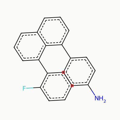 Nc1ccc(-c2cccc3cccc(-c4ccccc4F)c23)cc1